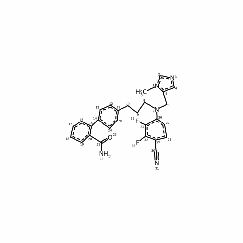 Cn1cncc1CN(CCCc1ccc(-c2ccccc2C(N)=O)cc1)c1ccc(C#N)c(F)c1F